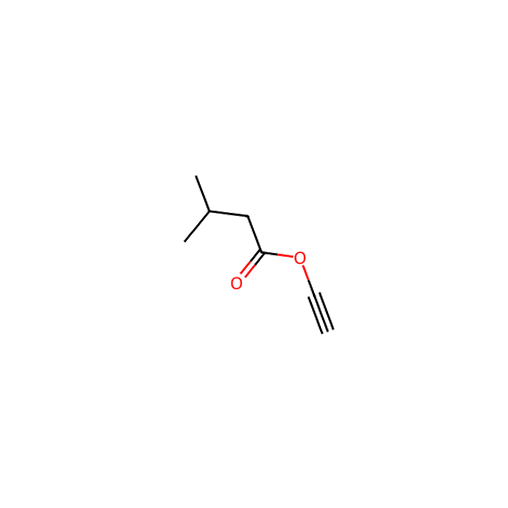 C#COC(=O)CC(C)C